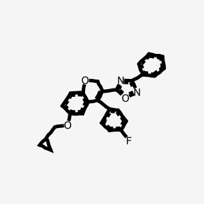 Fc1ccc(C2=C(c3nc(-c4ccccc4)no3)COc3ccc(OCC4CC4)cc32)cc1